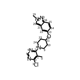 Cc1c(Cl)ncnc1N1CCC(Oc2ccc3nn(C)cc3c2)CC1